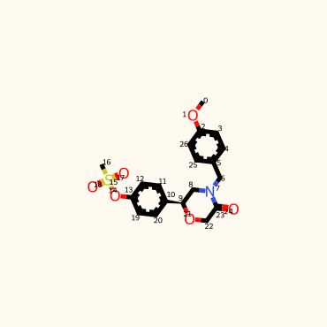 COc1ccc(CN2C[C@H](c3ccc(OS(C)(=O)=O)cc3)OCC2=O)cc1